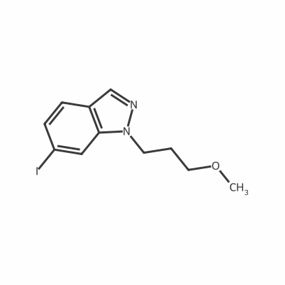 COCCCn1ncc2ccc(I)cc21